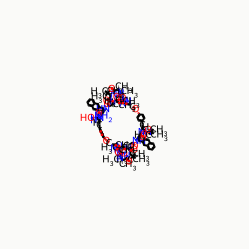 C[C@@H](C(=O)N[C@H](C(=O)N1C[C@@H]2C[C@H]1C(=O)N[C@@H](Cc1ccc3ccccc3c1)C(=O)N[C@H](C(=O)OC(C)(C)C)Cc1ccc(cc1)OCc1cn(nn1)[C@H]1C[C@@H](C(=O)N[C@@H](Cc3ccc4ccccc4c3)C(=O)N[C@H](/C(N)=N/O)Cc3ccc(cc3)OCc3cn2nn3)N(C(=O)[C@@H](NC(=O)[C@H](C)N(C)C(=O)OC(C)(C)C)C(C)(C)C)C1)C(C)(C)C)N(C)C(=O)OC(C)(C)C